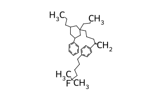 C=C(CCCC1(CCC)CC(CCC)CC(c2ccccc2)C1)c1ccc(CCCCC(C)(C)F)cc1